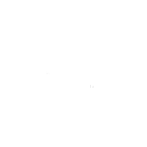 Brc1ccc2cc3c(cc2c1)C(Br)CC=C3